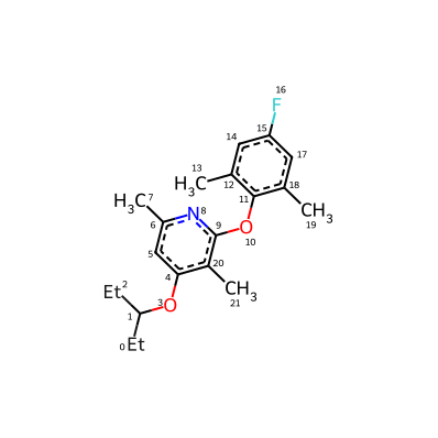 CCC(CC)Oc1cc(C)nc(Oc2c(C)cc(F)cc2C)c1C